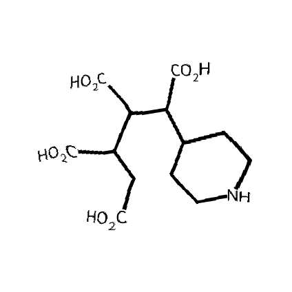 O=C(O)CC(C(=O)O)C(C(=O)O)C(C(=O)O)C1CCNCC1